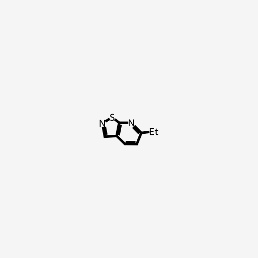 CCc1ccc2cnsc2n1